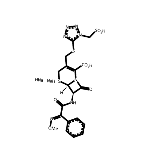 CO/N=C(/C(=O)N[C@@H]1C(=O)N2C(C(=O)O)=C(CSc3nnnn3CS(=O)(=O)O)CS[C@H]12)c1ccccc1.[NaH].[NaH]